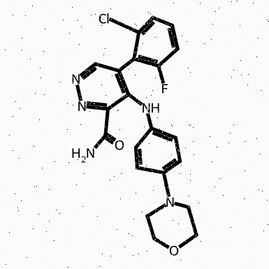 NC(=O)c1nncc(-c2c(F)cccc2Cl)c1Nc1ccc(N2CCOCC2)cc1